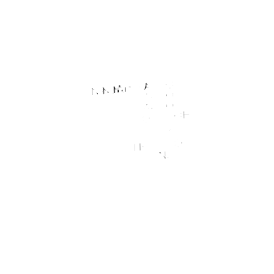 CC(=O)[O-].CC(=O)[O-].CC(=O)[O-].CC(=O)[O-].O=C(O)C(=O)O.[Na+].[Na+].[Na+].[Na+]